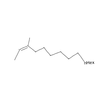 C/[C]=C(/C)CCCCCCCCCCCC